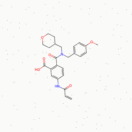 C=CC(=O)Nc1ccc(C(=O)N(Cc2ccc(OC)cc2)CC2CCOCC2)c(C(=O)O)c1